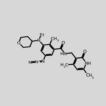 CCN(c1cc(N=[N+]=[N-])cc(C(=O)NCc2c(C)cc(C)[nH]c2=O)c1C)C1CCOCC1